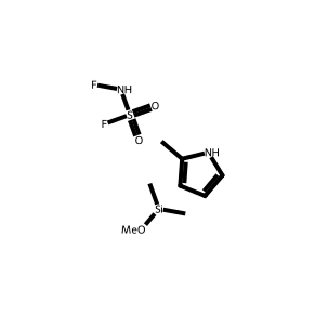 CO[Si](C)C.Cc1ccc[nH]1.O=S(=O)(F)NF